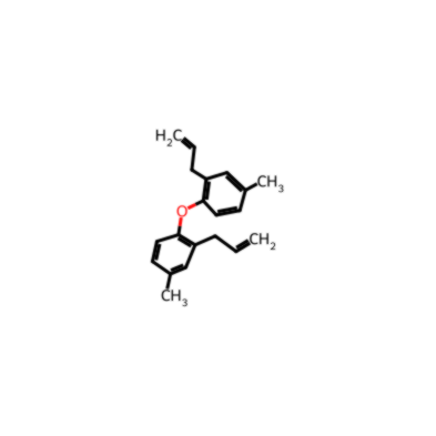 C=CCc1cc(C)ccc1Oc1ccc(C)cc1CC=C